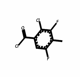 Cc1c(F)cc(C(=O)Cl)c(Cl)c1F